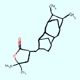 CC1C(C)C2CC1C1C3CC(C4CC(C)(C)OC4=O)C(C3)C21